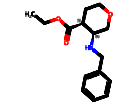 CCOC(=O)[C@H]1CCOC[C@H]1NCc1ccccc1